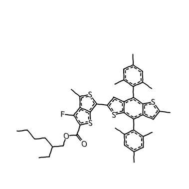 CCCCC(CC)COC(=O)c1sc2c(-c3cc4c(-c5c(C)cc(C)cc5C)c5sc(C)cc5c(-c5c(C)cc(C)cc5C)c4s3)sc(C)c2c1F